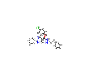 Cc1nc(-c2ccccc2)nc(-c2cccc(Cl)c2)c1C(=O)NCCCc1ccccc1